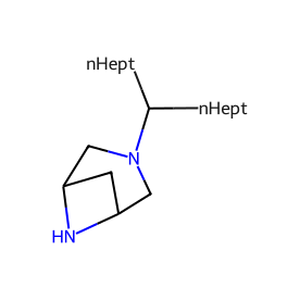 CCCCCCCC(CCCCCCC)N1CC2CC(C1)N2